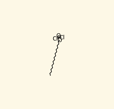 CCCCCCCCCCCCCCCCCCOP(=O)(Cl)Cl